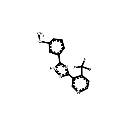 COc1cccc(-c2nc(-c3cnccc3C(F)(F)F)n[nH]2)c1